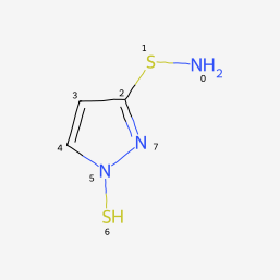 NSc1ccn(S)n1